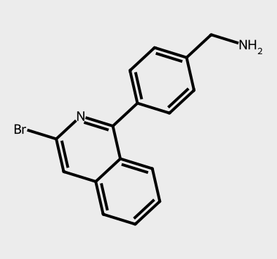 NCc1ccc(-c2nc(Br)cc3ccccc23)cc1